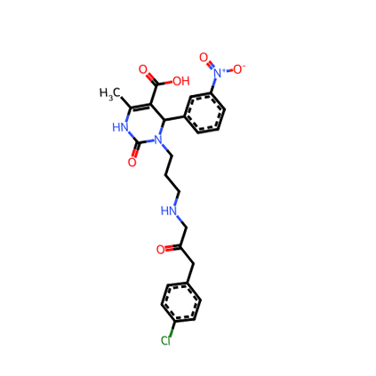 CC1=C(C(=O)O)C(c2cccc([N+](=O)[O-])c2)N(CCCNCC(=O)Cc2ccc(Cl)cc2)C(=O)N1